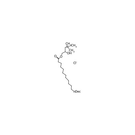 CCCCCCCCCCCCCCCCCCCCCC(=O)OCC(O)C[N+](C)(C)C.[Cl-]